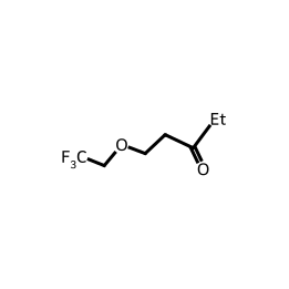 CCC(=O)CCOCC(F)(F)F